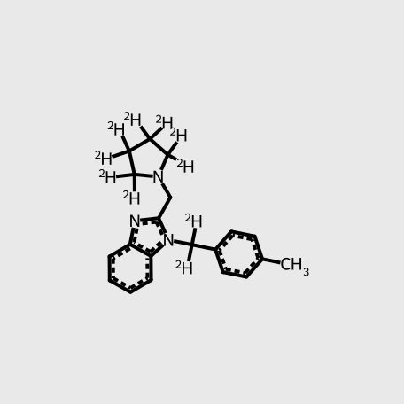 [2H]C([2H])(c1ccc(C)cc1)n1c(CN2C([2H])([2H])C([2H])([2H])C([2H])([2H])C2([2H])[2H])nc2ccccc21